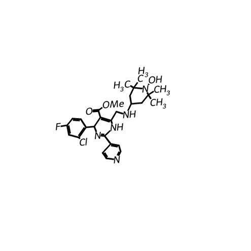 COC(=O)C1=C(CNC2CC(C)(C)N(O)C(C)(C)C2)NC(c2ccncc2)=NC1c1ccc(F)cc1Cl